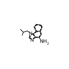 CC(C)Cn1cnc2c(N)cc3ccccc3c21